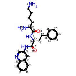 NCCCC[C@H](N)C(=O)N[C@H](CCc1ccccc1)C(=O)Nc1cnc2ccccc2c1